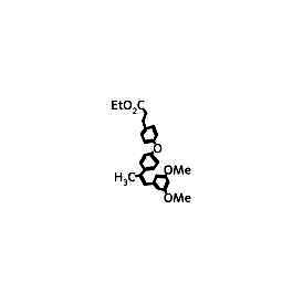 CCOC(=O)CCc1ccc(Oc2ccc(/C(C)=C\c3cc(OC)cc(OC)c3)cc2)cc1